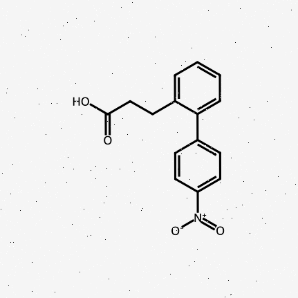 O=C(O)CCc1ccccc1-c1ccc([N+](=O)[O-])cc1